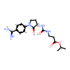 CC(C)OC(=O)CCNC(=O)N[C@H]1CCN(c2ccc(C(=N)N)cc2)C1=O